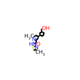 Cc1cc(-c2cccc(CO)c2)cc(C(=O)Nc2nc(C)cs2)n1